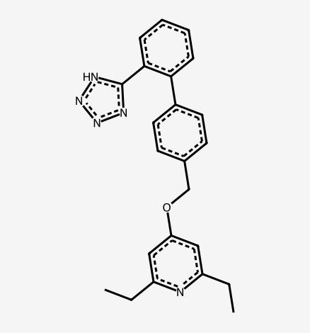 CCc1cc(OCc2ccc(-c3ccccc3-c3nnn[nH]3)cc2)cc(CC)n1